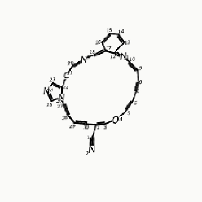 N#CC1=COC=CC=CC=CN=c2ccccc2=CN=CCc2cncn2C=CC=C1